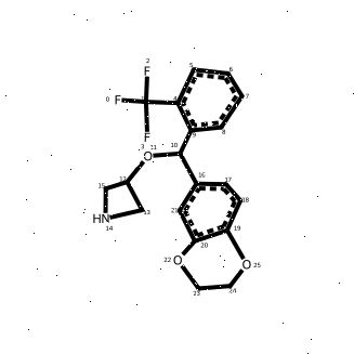 FC(F)(F)c1ccccc1C(OC1CNC1)c1ccc2c(c1)OCCO2